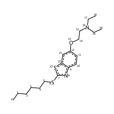 CCCCCCSc1nc2ccc(OCCN(CC)CC)cc2s1